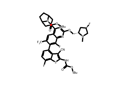 CN1C[C@H](F)C[C@H]1COc1nc(N2CC3CCC(C2)N3C(=O)OC(C)(C)C)c2cc(C(F)(F)F)c(-c3ccc(F)c4sc(NC(=O)OC(C)(C)C)c(C#N)c34)c(F)c2n1